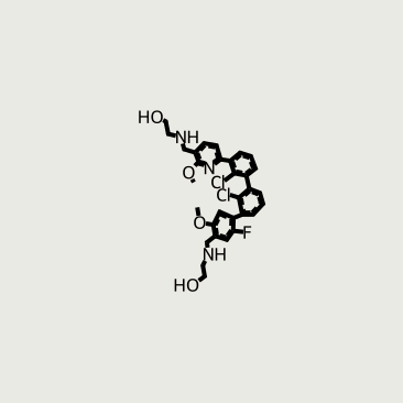 COc1cc(-c2cccc(-c3cccc(-c4ccc(CNCCO)c(OC)n4)c3Cl)c2Cl)c(F)cc1CNCCO